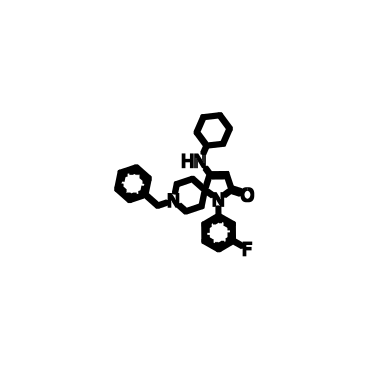 O=C1C=C(NC2CCCCC2)C2(CCN(Cc3ccccc3)CC2)N1c1cccc(F)c1